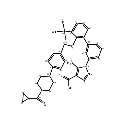 Nc1c(C(=O)O)cnn1-c1cccc(-c2cccc(C(F)(F)F)c2OCc2ccc(C3CCN(C(=O)C4CC4)CC3)cc2)n1